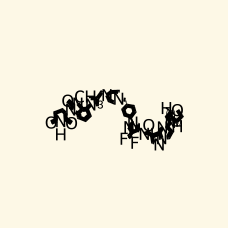 Cn1c(=O)n(C2CCC(=O)NC2=O)c2cccc(N3CC(CN4CCN(C[C@H]5CC[C@H](n6cc(NC(=O)c7cnn8ccc(N9C[C@H]%10C[C@@H]9CO%10)nc78)c(C(F)F)n6)CC5)CC4)C3)c21